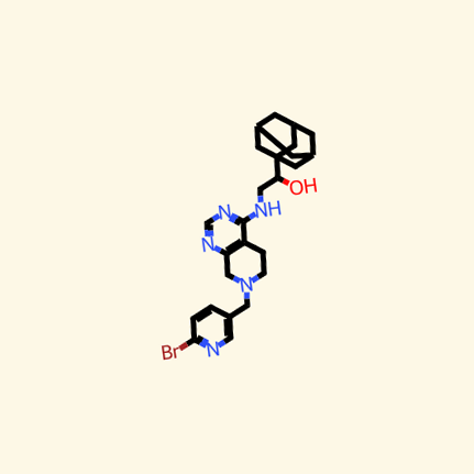 OC(CNc1ncnc2c1CCN(Cc1ccc(Br)nc1)C2)C12CC3CC(CC(C3)C1)C2